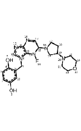 Oc1ccc(O)c(Cn2nnc3c2N(F)C(N2CC[C@@H](N4CCOCC4)C2)C=N3)c1